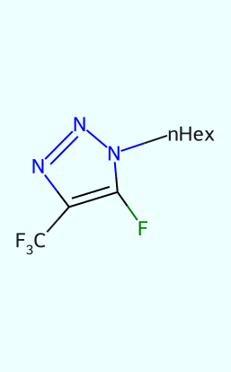 CCCCCCn1nnc(C(F)(F)F)c1F